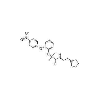 CC(C)(Oc1ccccc1Oc1ccc([N+](=O)[O-])cc1)C(=O)NCCN1CCCC1